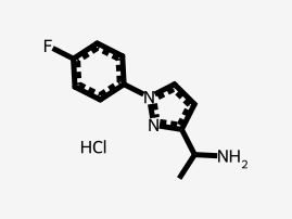 CC(N)c1ccn(-c2ccc(F)cc2)n1.Cl